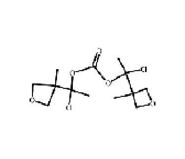 CC1(C(C)(Cl)OC(=O)OC(C)(Cl)C2(C)COC2)COC1